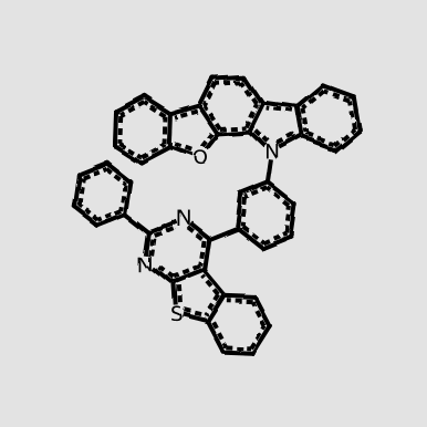 c1ccc(-c2nc(-c3cccc(-n4c5ccccc5c5ccc6c7ccccc7oc6c54)c3)c3c(n2)sc2ccccc23)cc1